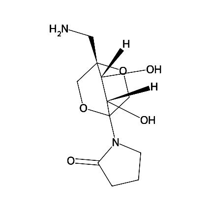 NC[C@@]12COC(N3CCCC3=O)(CO1)[C@@H](O)[C@H]2O